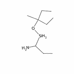 CCC(N)[SiH2]OC(C)(CC)CC